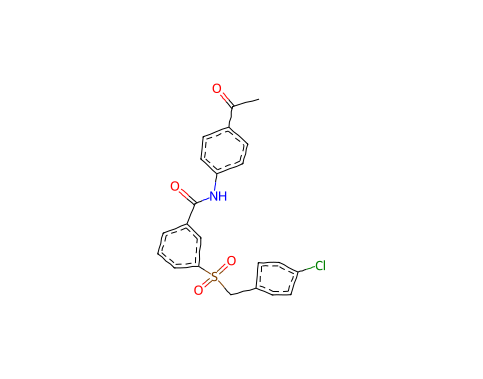 CC(=O)c1ccc(NC(=O)c2cccc(S(=O)(=O)Cc3ccc(Cl)cc3)c2)cc1